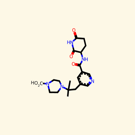 CC(C)(Cc1cncc(C(=O)NC2CCC(=O)NC2=O)c1)N1CCN(C(=O)O)CC1